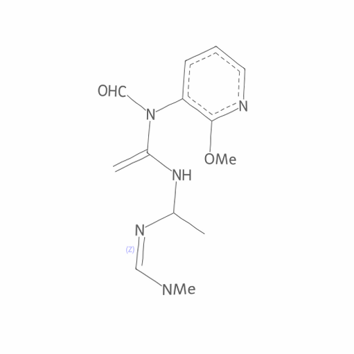 C=C(NC(C)/N=C\NC)N(C=O)c1cccnc1OC